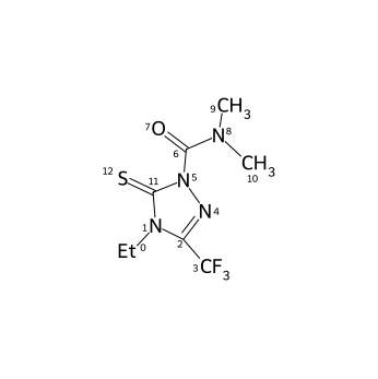 CCn1c(C(F)(F)F)nn(C(=O)N(C)C)c1=S